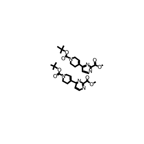 COC(=O)c1nccc(C2=CCN(C(=O)OC(C)(C)C)CC2)n1.COC(=O)c1nccc(C2=CCN(C(=O)OC(C)(C)C)CC2)n1